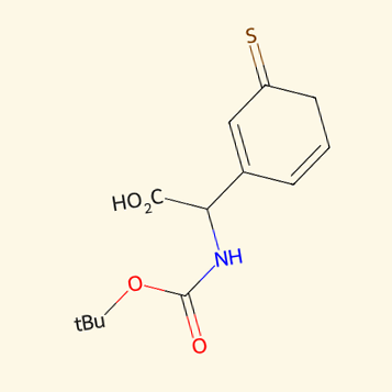 CC(C)(C)OC(=O)NC(C(=O)O)C1=CC(=S)CC=C1